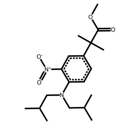 COC(=O)C(C)(C)c1ccc(N(CC(C)C)CC(C)C)c([N+](=O)[O-])c1